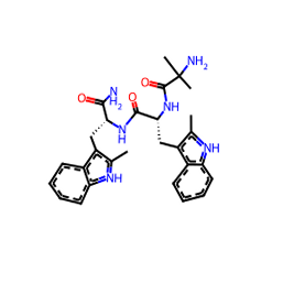 Cc1[nH]c2ccccc2c1C[C@@H](NC(=O)[C@@H](Cc1c(C)[nH]c2ccccc12)NC(=O)C(C)(C)N)C(N)=O